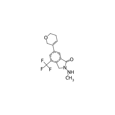 CNN1Cc2c(cc(C3=CCCOC3)cc2C(F)(F)F)C1=O